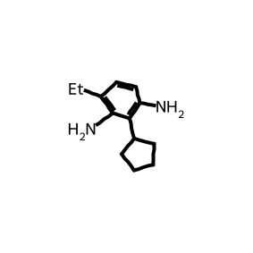 CCc1ccc(N)c(C2CCCC2)c1N